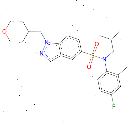 Cc1cc(F)ccc1N(CC(C)C)S(=O)(=O)c1ccc2c(cnn2CC2CCOCC2)c1